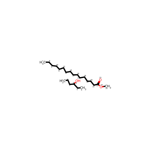 CCCC(O)CC.CCCCCCCCCCCCCCCC(=O)OC